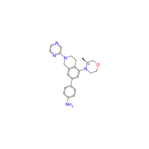 C[C@H]1COCCN1c1cc(-c2ccc(N)cc2)cc2c1CCN(c1cnccn1)C2